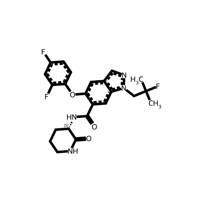 CC(C)(F)Cn1ncc2cc(Oc3ccc(F)cc3F)c(C(=O)N[C@H]3CCCNC3=O)cc21